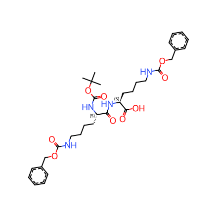 CC(C)(C)OC(=O)N[C@@H](CCCCNC(=O)OCc1ccccc1)C(=O)N[C@@H](CCCCNC(=O)OCc1ccccc1)C(=O)O